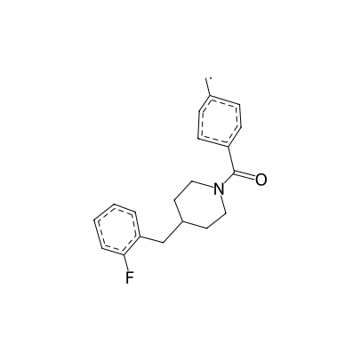 [CH2]c1ccc(C(=O)N2CCC(Cc3ccccc3F)CC2)cc1